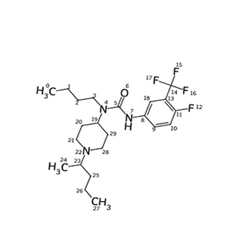 CCCCN(C(=O)Nc1ccc(F)c(C(F)(F)F)c1)C1CCN(C(C)CCC)CC1